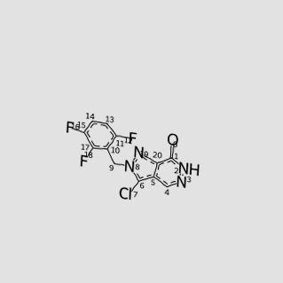 O=c1[nH]ncc2c(Cl)n(Cc3c(F)ccc(F)c3F)nc12